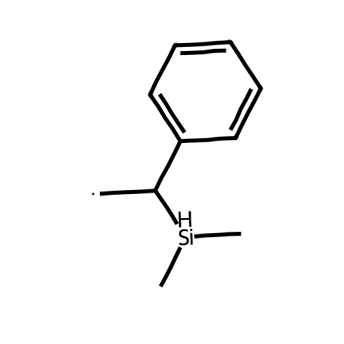 [CH2]C(c1ccccc1)[SiH](C)C